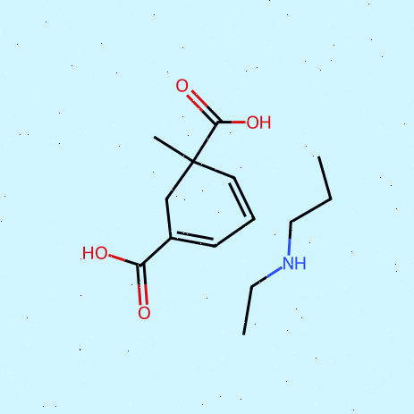 CC1(C(=O)O)C=CC=C(C(=O)O)C1.CCCNCC